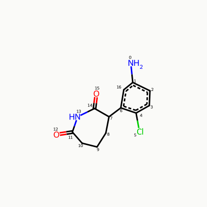 Nc1ccc(Cl)c(C2CCCC(=O)NC2=O)c1